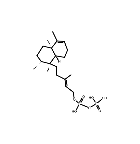 CC1=CCC[C@@H]2[C@@](C)(CC/C(C)=C/COP(=O)(O)OP(=O)(O)O)[C@H](C)CC[C@@]12C